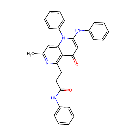 Cc1cc2c(c(CCC(=O)Nc3ccccc3)n1)c(=O)cc(Nc1ccccc1)n2-c1ccccc1